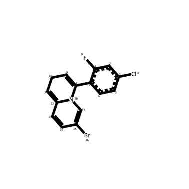 Fc1cc(Cl)ccc1C1=CCC=C2C=CC(Br)=CN21